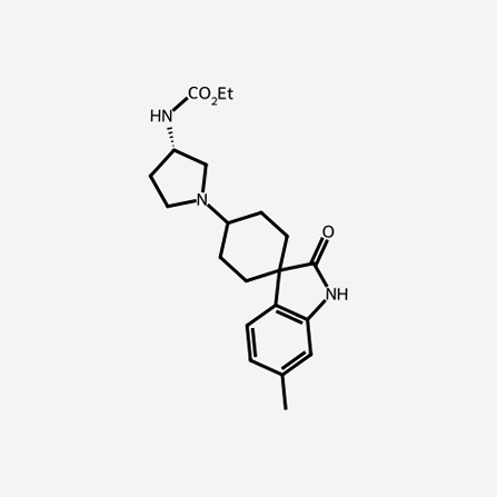 CCOC(=O)N[C@H]1CCN(C2CCC3(CC2)C(=O)Nc2cc(C)ccc23)C1